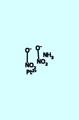 N.O=[N+]([O-])[O-].O=[N+]([O-])[O-].[Pt+2]